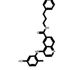 Cc1ccc(O)cc1Nc1ccnc2ccc(C(=O)NCCCc3ccccc3)cc12